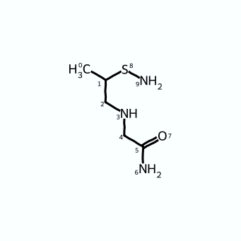 CC(CNCC(N)=O)SN